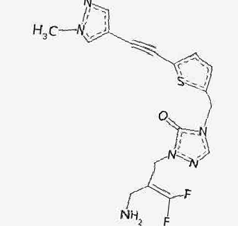 Cn1cc(C#Cc2ccc(Cn3cnn(CC(CN)=C(F)F)c3=O)s2)cn1